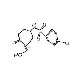 O=C1CCC(NS(=O)(=O)c2ccc(Cl)cc2)C/C1=C/O